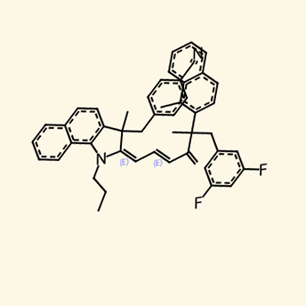 C=C(/C=C/C=C1/N(CCC)c2c(ccc3ccccc23)C1(C)Cc1ccc(C#N)cc1)C(C)(Cc1cc(F)cc(F)c1)c1ccc2ccccc2c1C